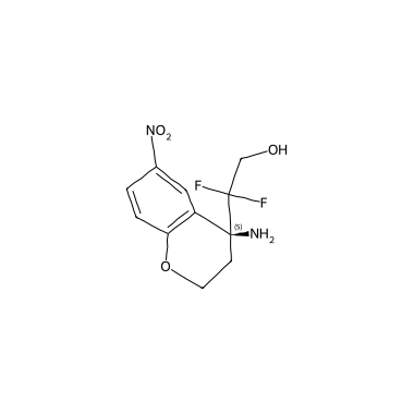 N[C@@]1(C(F)(F)CO)CCOc2ccc([N+](=O)[O-])cc21